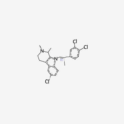 C/C(=C\n1c2c(c3cc(Cl)ccc31)CCN(C)C2C)c1ccc(Cl)c(Cl)c1